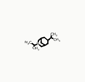 CC(C)C1CC2CC(C1)CN(C(C)C)C2